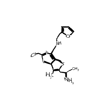 Cc1c([C@@H](C)N)sc2c(NCc3ccco3)nc(Cl)nc12